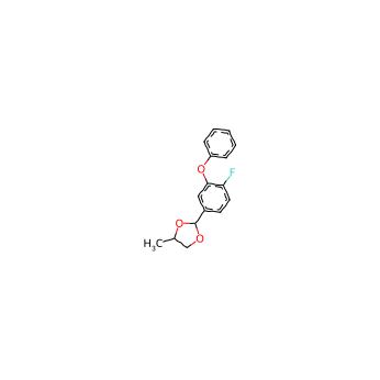 CC1COC(c2ccc(F)c(Oc3ccccc3)c2)O1